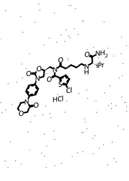 CC(C)[C@H](NCCCCC(=O)N(C[C@H]1CN(c2ccc(N3CCOCC3=O)cc2)C(=O)O1)C(=O)c1ccc(Cl)s1)C(N)=O.Cl